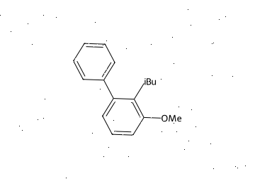 CCC(C)c1c(OC)cccc1-c1ccccc1